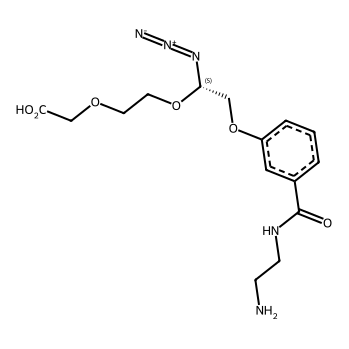 [N-]=[N+]=N[C@H](COc1cccc(C(=O)NCCN)c1)OCCOCC(=O)O